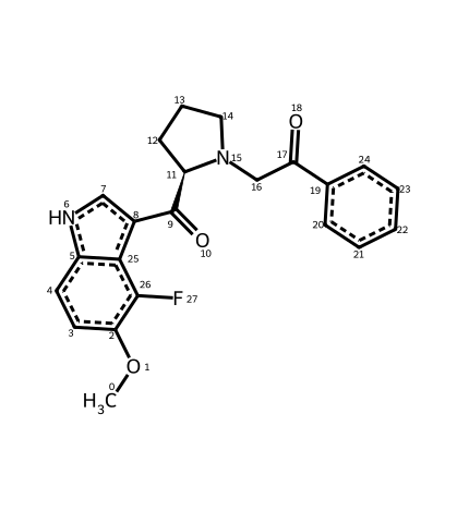 COc1ccc2[nH]cc(C(=O)[C@H]3CCCN3CC(=O)c3ccccc3)c2c1F